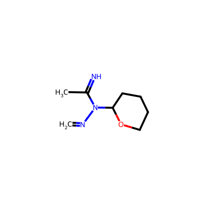 C=NN(C(C)=N)C1CCCCO1